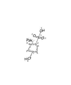 O=S(=O)(O)c1ccc(O)cc1.[PbH2]